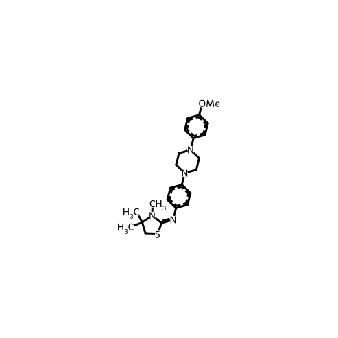 COc1ccc(N2CCN(c3ccc(N=C4SCC(C)(C)N4C)cc3)CC2)cc1